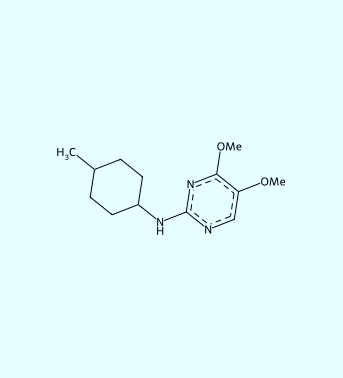 COc1cnc(NC2CCC(C)CC2)nc1OC